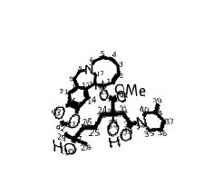 CO/C1=C/CCCCN2CCc3cc4c(cc3[C@@H](C2)[C@@H]1OC(=O)[C@@](O)(CCCC(C)(C)O)CC(=O)N1CCCC(C)C1)OCO4